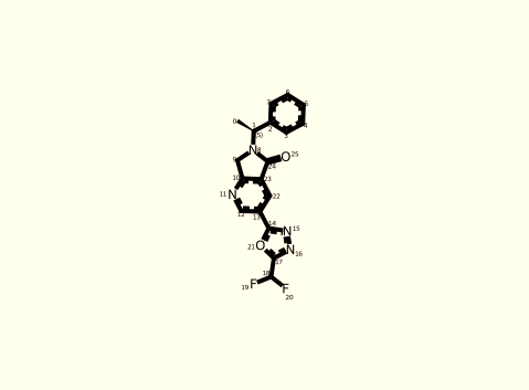 C[C@@H](c1ccccc1)N1Cc2ncc(-c3nnc(C(F)F)o3)cc2C1=O